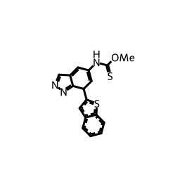 COC(=S)NC1=CC(c2cc3ccccc3s2)C2=NN=CC2=C1